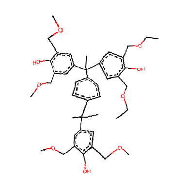 CCOCc1cc(C(C)(c2ccc(C(C)(C)c3cc(COC)c(O)c(COC)c3)cc2)c2cc(COC)c(O)c(COC)c2)cc(COCC)c1O